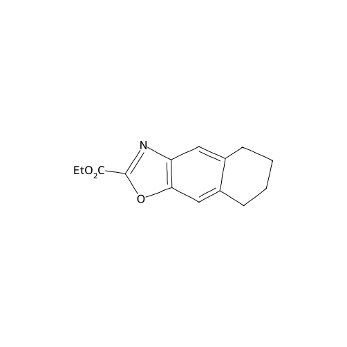 CCOC(=O)c1nc2cc3c(cc2o1)CCCC3